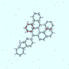 c1ccc(-c2c(-c3c(N(c4ccccc4)c4ccc5c(c4)oc4ccccc45)ccc4ccccc34)c3ccccc3c3ccccc23)cc1